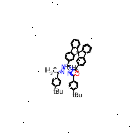 C/C(=N\N=C(/C)c1ccc2c(c1)[C@]1(c3ccccc3-2)c2ccccc2-c2ccc(-c3nnc(-c4ccc(C(C)(C)C)cc4)o3)cc21)c1ccc(C(C)(C)C)cc1